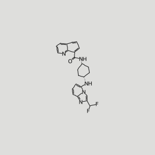 O=C(N[C@H]1CC[C@@H](Nc2cccc3nc(C(F)F)cn23)CC1)c1cccc2cccnc12